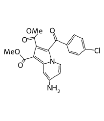 COC(=O)c1c(C(=O)OC)c2cc(N)ccn2c1C(=O)c1ccc(Cl)cc1